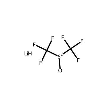 [LiH].[O-][S+](C(F)(F)F)C(F)(F)F